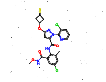 CONC(=O)c1cc(Cl)cc(C)c1NC(=O)c1cc(OC2CC(=S)C2)nn1-c1ncccc1Cl